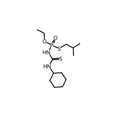 CCOP(=O)(NC(=S)NC1CCCCC1)SCC(C)C